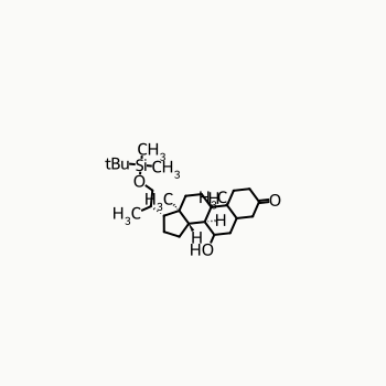 CC(CO[Si](C)(C)C(C)(C)C)[C@H]1CC[C@H]2[C@@H]3C(O)CC4CC(=O)CC[C@]4(C)[C@H]3CC[C@]12C